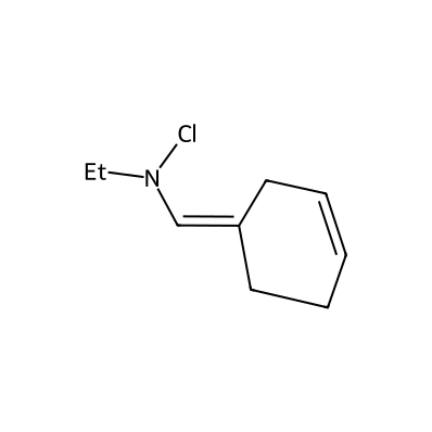 CCN(Cl)C=C1CC=CCC1